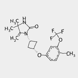 C=C1N([C@H]2C[C@@H](Oc3ccc(C)c(OC(F)(F)F)c3)C2)C(=O)NC1(C)C